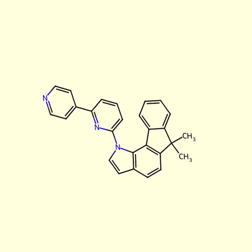 CC1(C)c2ccccc2-c2c1ccc1ccn(-c3cccc(-c4ccncc4)n3)c21